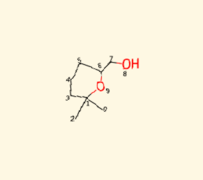 CC1(C)CCCC(CO)O1